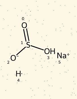 O=S([O-])O.[H].[Na+]